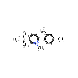 Cc1ccc(-c2ccc([Si](C)(C)C)c[n+]2C)c(C)c1